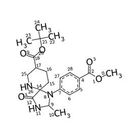 COC(=O)c1ccc(N2C(C)NC(=O)C23CCC(C(=O)OC(C)(C)C)CN3)cc1